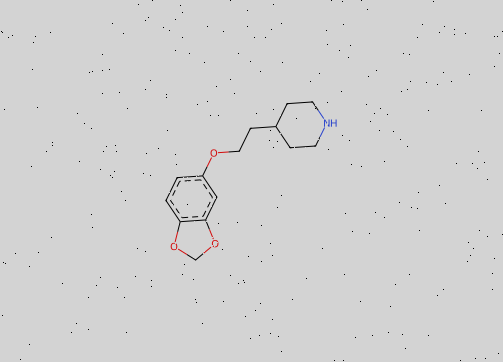 c1cc2c(cc1OCCC1CCNCC1)OCO2